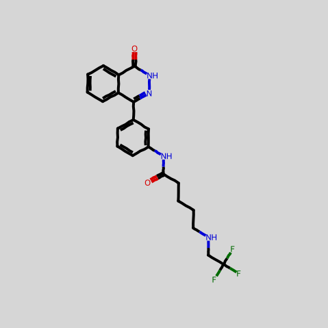 O=C(CCCCNCC(F)(F)F)Nc1cccc(-c2n[nH]c(=O)c3ccccc23)c1